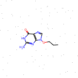 CCCOn1cnc2c(=O)[nH]c(N)nc21